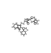 Cc1ccccc1Cn1cc(CCCC(=O)NC(C)Cc2ccco2)c2ccccc21